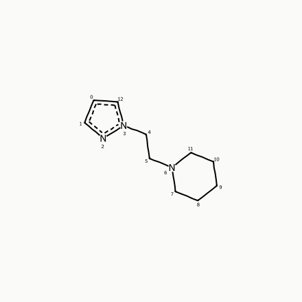 c1cnn(CCN2CCCCC2)c1